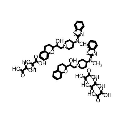 CN(c1nc2ccccc2s1)C1CCN(CC(O)C2CCc3ccccc3O2)CC1.CN(c1nc2ccccc2s1)C1CCN(CC(O)C2CCc3ccccc3O2)CC1.O=C(O)C(=O)O.O=C(O)C(=O)O.O=C(O)C(=O)O.O=C(O)C(=O)O.O=C(O)C(=O)O